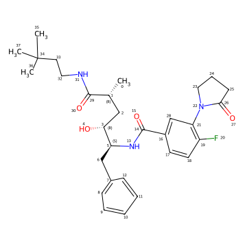 C[C@H](C[C@@H](O)[C@H](Cc1ccccc1)NC(=O)c1ccc(F)c(N2CCCC2=O)c1)C(=O)NCCC(C)(C)C